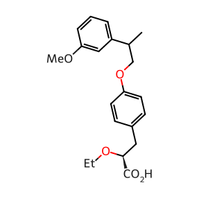 CCO[C@@H](Cc1ccc(OCC(C)c2cccc(OC)c2)cc1)C(=O)O